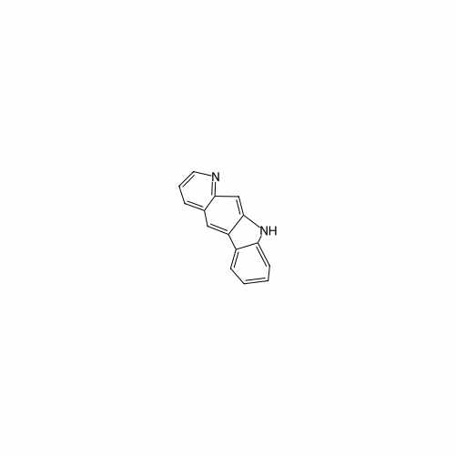 c1cnc2cc3[nH]c4ccccc4c3cc2c1